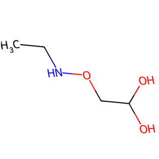 CCNOCC(O)O